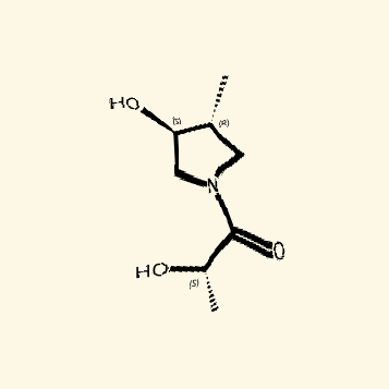 C[C@H](O)C(=O)N1C[C@@H](C)[C@H](O)C1